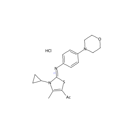 CC(=O)c1s/c(=N\c2ccc(N3CCOCC3)cc2)n(C2CC2)c1C.Cl